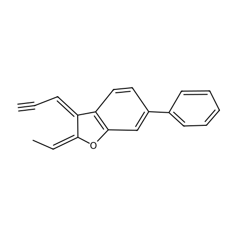 C#C/C=c1\c(=C/C)oc2cc(-c3ccccc3)ccc12